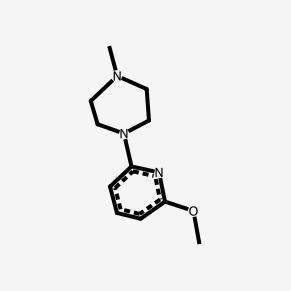 COc1cccc(N2CCN(C)CC2)n1